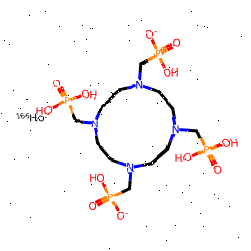 O=P([O-])(O)CN1CCN(CP(=O)(O)O)CCN(CP(=O)([O-])O)CCN(CP(=O)(O)O)CC1.[166Ho]